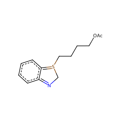 CC(=O)OCCCCS1=c2ccccc2=NC1